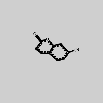 N#Cc1ccc2ccc(=O)oc2c1